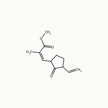 C=CN1CCC(C=C(C)C(=O)OC)C1=O